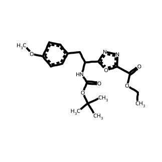 CCOC(=O)c1nnc(C(Cc2ccc(OC)cc2)NC(=O)OC(C)(C)C)o1